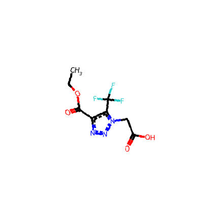 CCOC(=O)c1nnn(CC(=O)O)c1C(F)(F)F